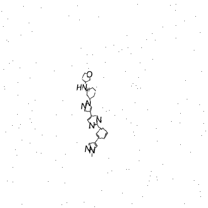 Cn1cc(-c2cccc(-c3ncc(-c4cnn(C5CCC[C@@H](NC6CCOC6)C5)c4)cn3)c2)cn1